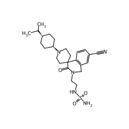 CC(C)[C@H]1CC[C@@H](N2CCC3(CC2)C(=O)N(CCNS(N)(=O)=O)Cc2cc(C#N)ccc23)CC1